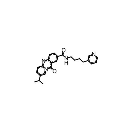 CC(C)c1ccc2nc3ccc(C(=O)NCCCCc4cccnc4)cc3c(=O)n2c1